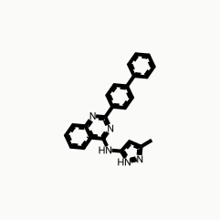 Cc1cc(Nc2nc(-c3ccc(-c4ccccc4)cc3)nc3ccccc23)[nH]n1